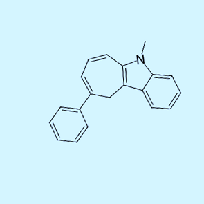 Cn1c2c(c3ccccc31)CC(c1ccccc1)=CC=C2